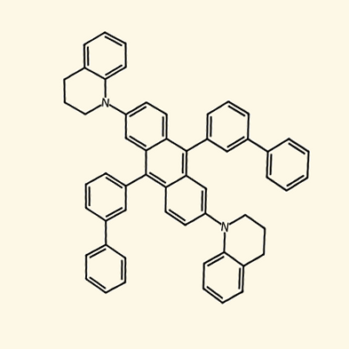 c1ccc(-c2cccc(-c3c4ccc(N5CCCc6ccccc65)cc4c(-c4cccc(-c5ccccc5)c4)c4ccc(N5CCCc6ccccc65)cc34)c2)cc1